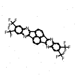 FC(F)(F)c1cc2nc3c(nc2cc1C(F)(F)F)-c1ccc2c4c(ccc-3c14)-c1nc3cc(C(F)(F)F)c(C(F)(F)F)cc3nc1-2